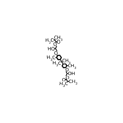 C=C(C)C(=O)OCC(O)COc1ccc(C(C)(C)c2ccc(OCC(O)COC(=O)C(=C)C)c(C)c2)cc1C